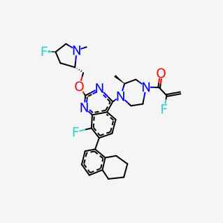 C=C(F)C(=O)N1CCN(c2nc(OC[C@@H]3C[C@@H](F)CN3C)nc3c(F)c(-c4cccc5c4CCCC5)ccc23)[C@@H](C)C1